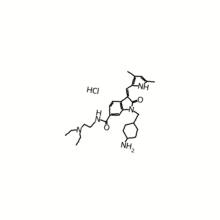 CCN(CC)CCNC(=O)c1ccc2c(c1)N(CC1CCC(N)CC1)C(=O)/C2=C\c1[nH]c(C)cc1C.Cl